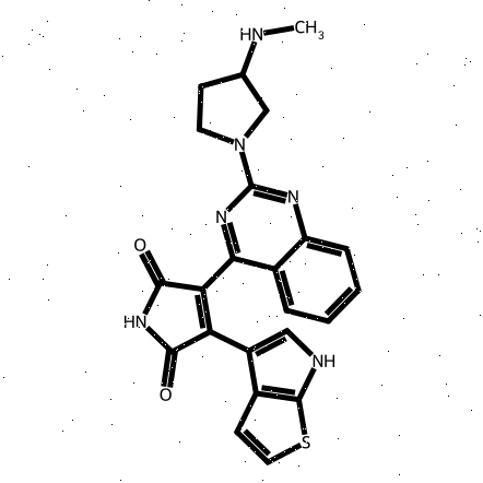 CNC1CCN(c2nc(C3=C(c4c[nH]c5sccc45)C(=O)NC3=O)c3ccccc3n2)C1